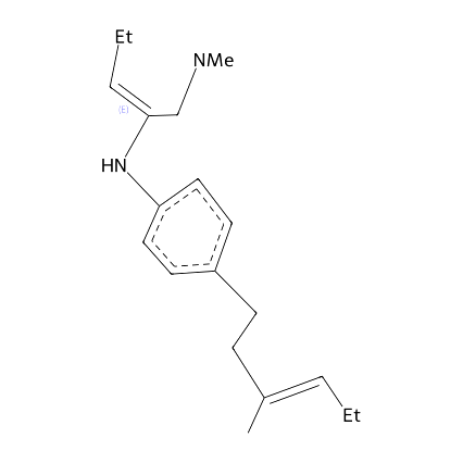 CCC=C(C)CCc1ccc(N/C(=C/CC)CNC)cc1